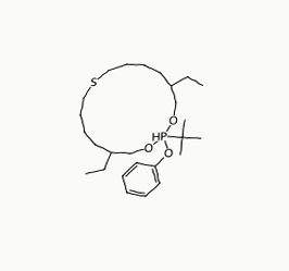 CCC1CCCCSCCCCC(CC)CO[PH](Oc2ccccc2)(C(C)(C)C)OC1